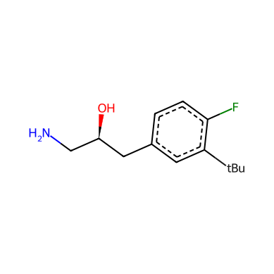 CC(C)(C)c1cc(C[C@H](O)CN)ccc1F